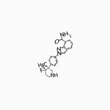 CC1(c2ccc(-n3cc4cccc(C(N)=O)c4n3)cc2)CNCCC1(F)F